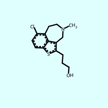 CN1CCc2c(Cl)ccc3sc(CCCO)c(c23)C1